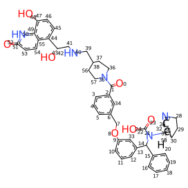 O=C(c1cccc(COc2cccc(C(c3ccccc3)N(C(=O)O)[C@H]3CN4CCC3CC4)c2)c1)N1CCC(CNC[C@H](O)c2ccc(O)c3[nH]c(=O)ccc23)CC1